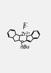 CCCCP1C2=Cc3ccccc3[CH]2[Zr+2][CH]2C3C=CC=CC3CC21.[F-].[F-]